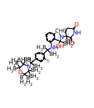 BC(B)(Nc1cccc(C=O)c1C(B)(O)N(C)C1(B)CCC(=O)NC1=O)c1ccc(C(B)(B)N2C(B)(B)C(B)(B)OC(B)(B)C2(B)B)cc1F